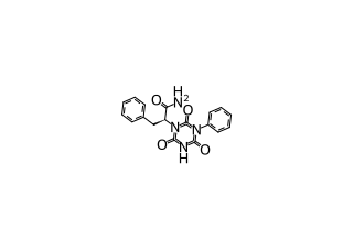 NC(=O)[C@H](Cc1ccccc1)n1c(=O)[nH]c(=O)n(-c2ccccc2)c1=O